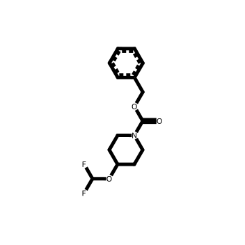 O=C(OCc1ccccc1)N1CCC(OC(F)F)CC1